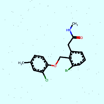 CNC(=O)Cc1cccc(Br)c1COc1ccc(C)cc1Cl